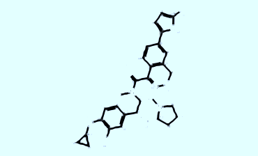 CN(C(=O)C1=NOCc2cc(-c3ccc(Cl)s3)ccc21)[C@H](CN1CCCC1)[C@H](O)c1ccc(OC2CC2)c(F)c1